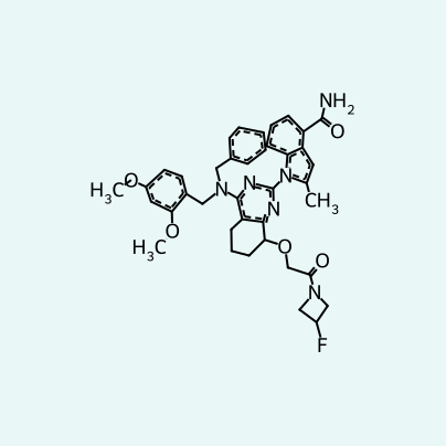 COc1ccc(CN(Cc2ccccc2)c2nc(-n3c(C)cc4c(C(N)=O)cccc43)nc3c2CCCC3OCC(=O)N2CC(F)C2)c(OC)c1